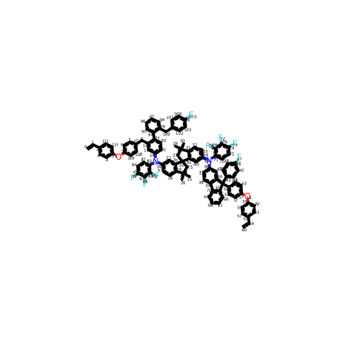 C=Cc1ccc(Oc2ccc(Cc3cc(N(c4ccc5c(c4)C4(CC5(C)C)CC(C)(C)c5ccc(N(c6ccc7c(c6)C(c6ccc(F)cc6)(c6ccc(Oc8ccc(C=C)cc8)cc6)c6ccccc6-7)c6ccc(F)c(F)c6F)cc54)c4ccc(F)c(F)c4F)ccc3-c3ccccc3Cc3ccc(F)cc3)cc2)cc1